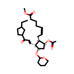 CCC1CCC(C(=O)/C=C/[C@@H]2[C@@H](C/C=C\CCCC(=O)OC)[C@@H](OC(C)=O)C[C@H]2OC2CCCCO2)C1